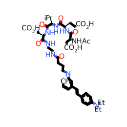 C\C=C/C(C=Cc1ccc(N(CC)CC)cc1)=C\C=N\CCCC(=O)NCCNC(=O)[C@@H](CC(=O)O)NC(=O)[C@H](NC(=O)[C@@H](CCC(=O)O)NC(=O)[C@@H](CC(=O)O)NC(C)=O)C(C)C